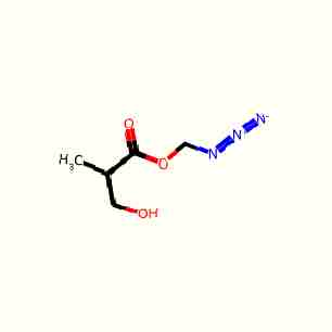 CC(CO)C(=O)OCN=[N+]=[N-]